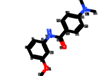 COc1cccc(NC(=O)c2ccc(N(C)C)cc2)c1